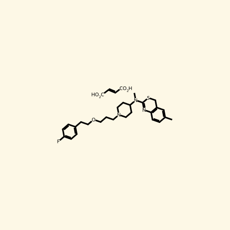 Cc1ccc2c(c1)CSC(N(C)C1CCN(CCCOCCc3ccc(F)cc3)CC1)=N2.O=C(O)C=CC(=O)O